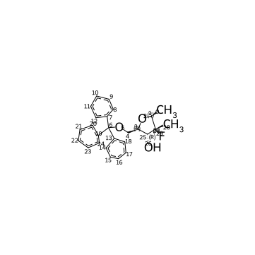 C[C@@H]1O[C@H](COC(c2ccccc2)(c2ccccc2)c2ccccc2)[C@@H](O)[C@@]1(C)F